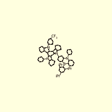 CC(C)c1cc(C(C)C)c(B2c3ccccc3N(c3ccccc3)c3cc(-n4c5ccccc5c5c6c(c7ccccc7n6-c6ccc(C(F)(F)F)cc6)c6c(c7ccccc7n6-c6ccccc6)c54)ccc32)c(C(C)C)c1